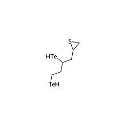 [TeH]CCC([TeH])CC1CS1